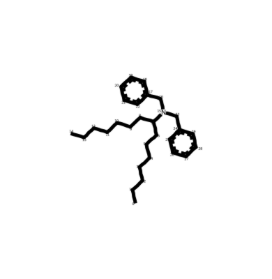 CCCCCCCC(CCCCCCC)N(Cc1ccccc1)Cc1ccccc1